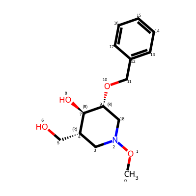 CON1C[C@H](CO)[C@@H](O)[C@H](OCc2ccccc2)C1